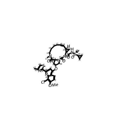 COc1ccc2c(O[C@H]3C[C@H]4C(=O)N(C)CCCC/C=C\[C@H]5C[C@@]5(C(=O)NS(=O)(=O)C5CC5)NC(=O)N4C3)cc(-c3nc(C)cs3)nc2c1Cl